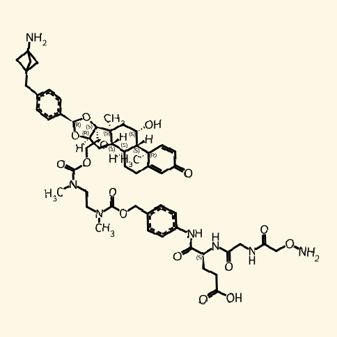 CN(CCN(C)C(=O)OCc1ccc(NC(=O)[C@H](CCC(=O)O)NC(=O)CNC(=O)CON)cc1)C(=O)OCC(=O)[C@@]12O[C@H](c3ccc(CC45CC(N)(C4)C5)cc3)O[C@@H]1C[C@H]1[C@@H]3CCC4=CC(=O)C=C[C@]4(C)[C@H]3[C@@H](O)C[C@@]12C